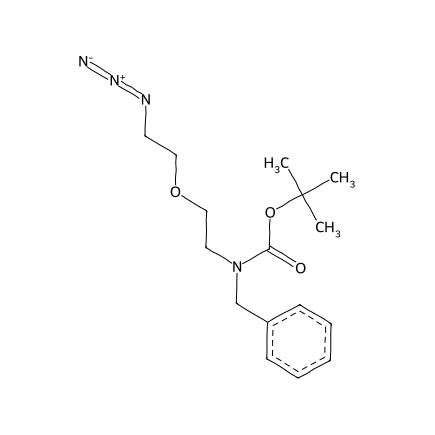 CC(C)(C)OC(=O)N(CCOCCN=[N+]=[N-])Cc1ccccc1